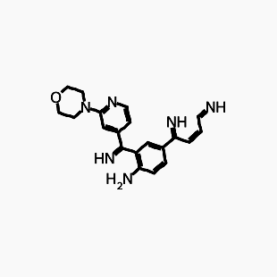 N=C/C=C\C(=N)c1ccc(N)c(C(=N)c2ccnc(N3CCOCC3)c2)c1